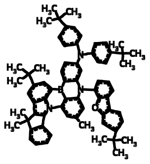 Cc1cc2c3c(c1)-n1c4c(c5cc(C(C)(C)C)cc(c51)B3c1ccc(N(c3ccc(C(C)(C)C)cc3)c3ccc(C(C)(C)C)cc3)cc1N2c1cccc2c1oc1cc(C(C)(C)C)ccc12)C(C)(C)c1ccccc1-4